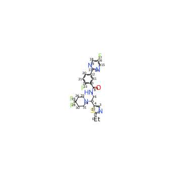 CCc1ncc(C(CNC(=O)c2cc(-c3ncc(F)cn3)ccc2F)N2CCC(F)(F)CC2)s1